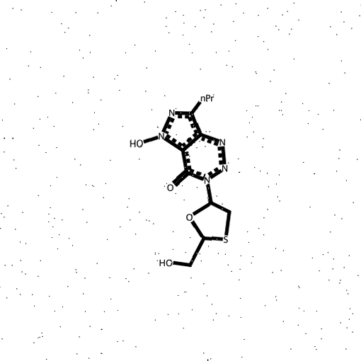 CCCc1nn(O)c2c(=O)n(C3CSC(CO)O3)nnc12